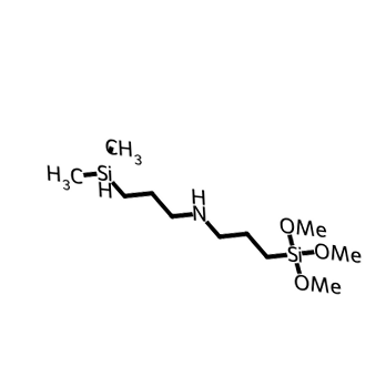 CO[Si](CCCNCCC[SiH](C)C)(OC)OC